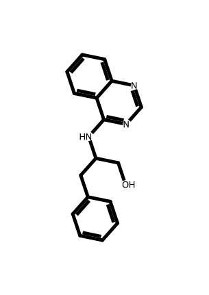 OCC(Cc1ccccc1)Nc1ncnc2ccccc12